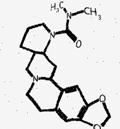 CN(C)C(=O)N1CCCC2CN3CCc4cc5c(cc4C3CC21)OCO5